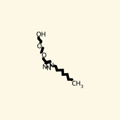 CCCCCCCCn1cc(COCCOCCO)nn1